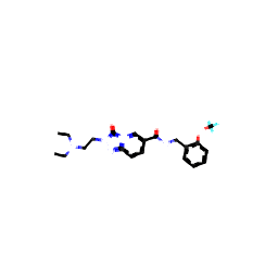 CCN(CC)CCn1nc2ccc(C(=O)NCc3ccccc3OC(F)(F)F)cn2c1=O